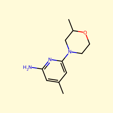 Cc1cc(N)nc(N2CCOC(C)C2)c1